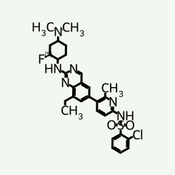 CCc1cc(-c2ccc(NS(=O)(=O)c3ccccc3Cl)nc2C)cc2cnc(NC3CCC(N(C)C)C[C@@H]3F)nc12